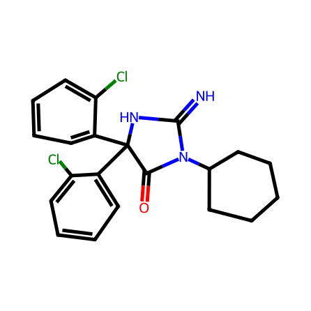 N=C1NC(c2ccccc2Cl)(c2ccccc2Cl)C(=O)N1C1CCCCC1